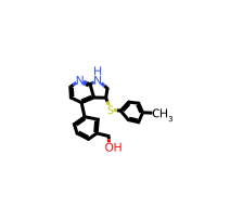 Cc1ccc(SC2CNc3nccc(-c4cccc(CO)c4)c32)cc1